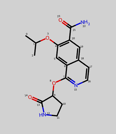 CC(C)Oc1cc2c(OC3CCNC3=O)nccc2cc1C(N)=O